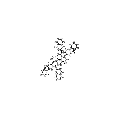 c1ccc2cc(N(c3ccc4sc5ccccc5c4c3)c3cc4cccc5c(N(c6ccc7ccccc7c6)c6ccc7sc8ccccc8c7c6)cc6cccc3c6c45)ccc2c1